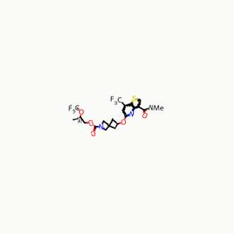 CNC(=O)c1csc2c(C(F)(F)F)cc(OC3CC4(C3)CN(C(=O)OC[C@@H](C)OC(F)(F)F)C4)nc12